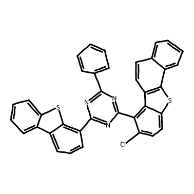 Clc1ccc2sc3c4ccccc4ccc3c2c1-c1nc(-c2ccccc2)nc(-c2cccc3c2sc2ccccc23)n1